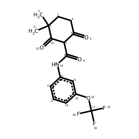 CC1(C)CCC(=O)C(C(=O)Nc2cccc(OC(F)(F)F)c2)C1=O